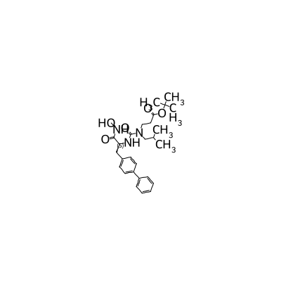 CC(C)CN(CCC(=O)OC(C)(C)C)C(=O)N[C@@H](Cc1ccc(-c2ccccc2)cc1)C(=O)NO